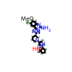 COc1cc2nc(N)n3nc([C@@H]4CCCN(c5cnn([C@H]6CCC[C@]6(C)O)c5)C4)nc3c2cc1F